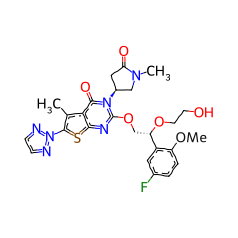 COc1ccc(F)cc1[C@H](COc1nc2sc(-n3nccn3)c(C)c2c(=O)n1[C@H]1CC(=O)N(C)C1)OCCO